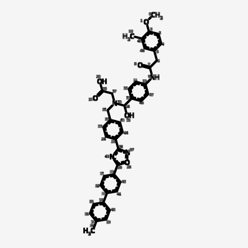 COc1ccc(CC(=O)Nc2ccc(C(O)N(CC(=O)O)Cc3ccc(-c4noc(-c5ccc(-c6ccc(C)cc6)cc5)n4)cc3)cc2)cc1C